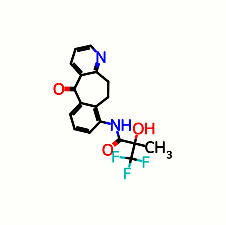 CC(O)(C(=O)Nc1cccc2c1CCc1ncccc1C2=O)C(F)(F)F